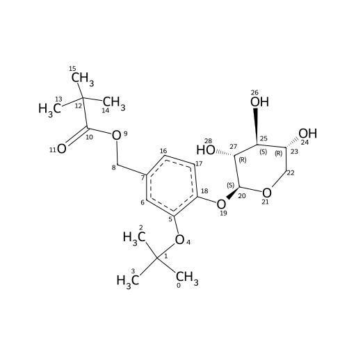 CC(C)(C)Oc1cc(COC(=O)C(C)(C)C)ccc1O[C@@H]1OC[C@@H](O)[C@H](O)[C@H]1O